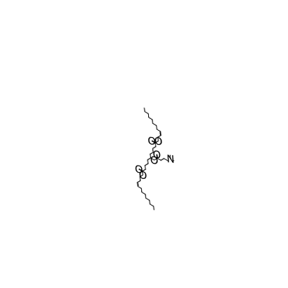 CCCCCCCC/C=C\CCOC(=O)CCCCC(CCCCC(=O)OC/C=C\CCCCCCCC)OC(=O)CCCN(C)C